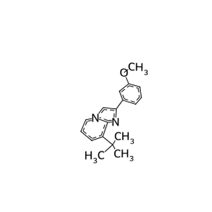 COc1cccc(-c2cn3cccc(C(C)(C)C)c3n2)c1